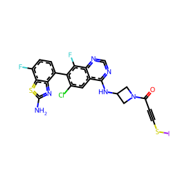 Nc1nc2c(-c3c(Cl)cc4c(NC5CN(C(=O)C#CSI)C5)ncnc4c3F)ccc(F)c2s1